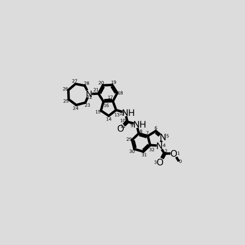 COC(=O)n1ncc2c(NC(=O)NC3CCc4c3cccc4N3CCCCCC3)cccc21